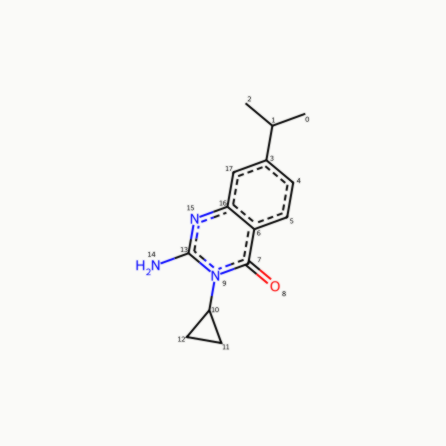 CC(C)c1ccc2c(=O)n(C3CC3)c(N)nc2c1